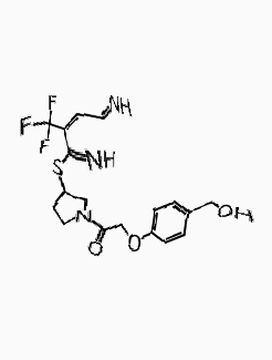 N=C/C=C(\C(=N)SC1CCN(C(=O)COc2ccc(CO)cc2)C1)C(F)(F)F